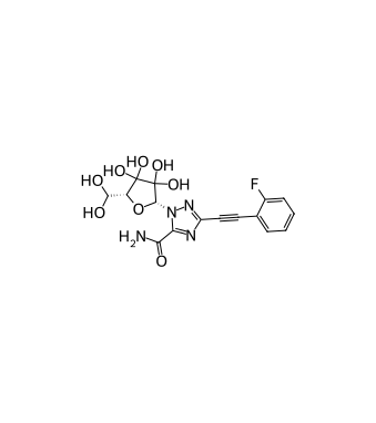 NC(=O)c1nc(C#Cc2ccccc2F)nn1[C@@H]1O[C@H](C(O)O)C(O)(O)C1(O)O